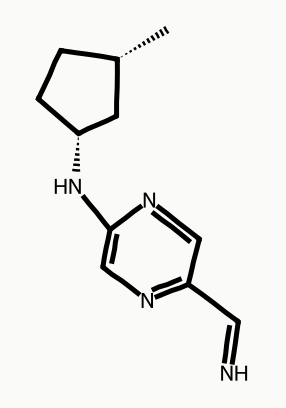 C[C@H]1CC[C@@H](Nc2cnc(C=N)cn2)C1